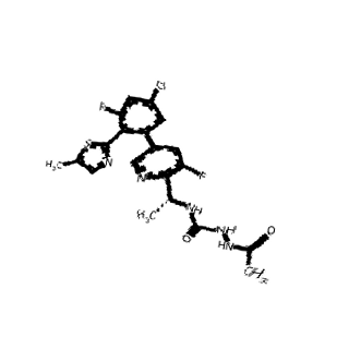 CC(=O)NNC(=O)N[C@H](C)c1ncc(-c2cc(Cl)cc(F)c2-c2ncc(C)s2)cc1F